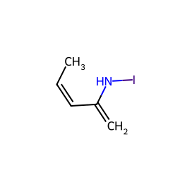 C=C(/C=C\C)NI